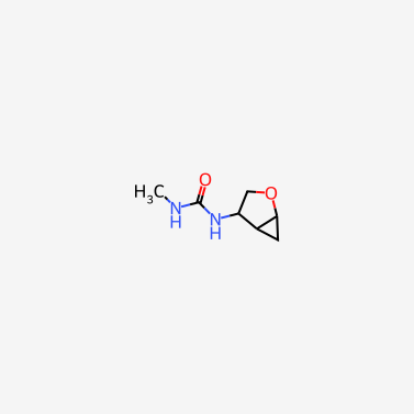 CNC(=O)NC1COC2CC12